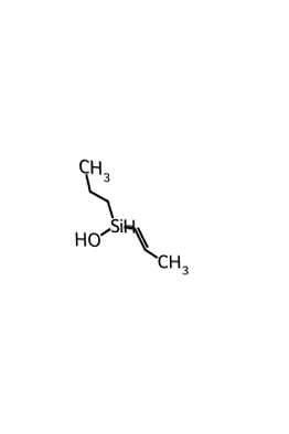 CC=C[SiH](O)CCC